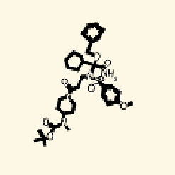 COc1ccc(S(=O)(=O)N(CCC(=O)N2CCC(N(C)C(=O)OC(C)(C)C)CC2)C(OCc2ccccc2)(C(N)=O)C2CCCCC2)cc1